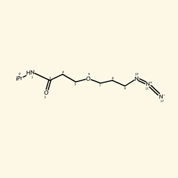 CC(C)NC(=O)CCOCCCN=[N+]=[N-]